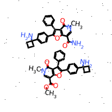 COC(=O)c1cn(C)c(=O)c2c(-c3ccccc3)c(-c3ccc(C4(N)CCC4)cc3)oc12.Cn1cc(C(N)=O)c2oc(-c3ccc(C4(N)CCC4)cc3)c(-c3ccccc3)c2c1=O